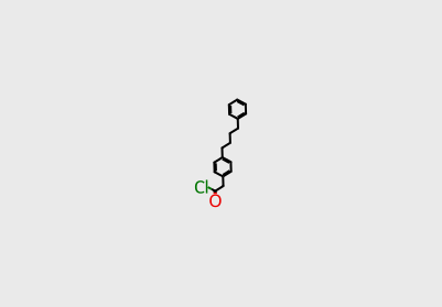 O=C(Cl)Cc1ccc(CCCCc2ccccc2)cc1